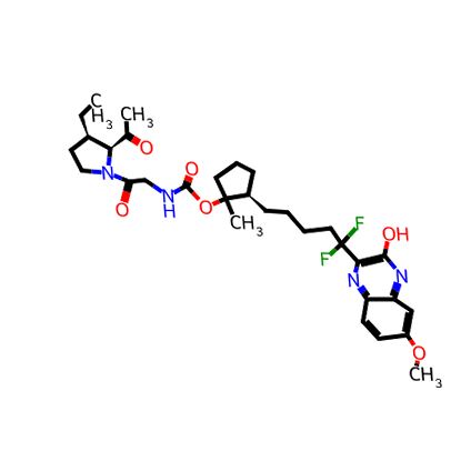 CC[C@@H]1CCN(C(=O)CNC(=O)OC2(C)CCC[C@H]2CCCCC(F)(F)c2nc3ccc(OC)cc3nc2O)[C@@H]1C(C)=O